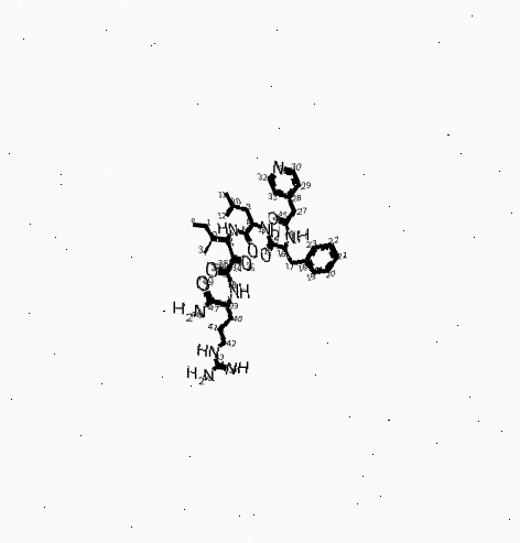 CC[C@H](C)C(NC(=O)C(CC(C)C)NC(=O)C(Cc1ccccc1)NC(=O)Cc1ccncc1)C(=O)C(=O)NC(CCCNC(=N)N)C(N)=O